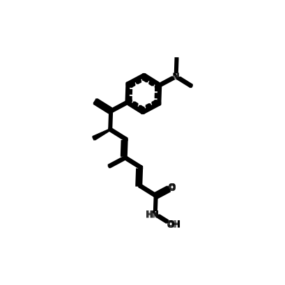 C=C(c1ccc(N(C)C)cc1)[C@H](C)/C=C(C)/C=C/C(=O)NO